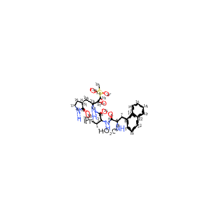 CC(C)CC(NC(=O)C(Cc1cccc2ccccc12)NC(=O)O)C(=O)NC(C[C@@H]1CCNC1=O)C1OC1S(C)(=O)=O